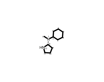 CN(C1CCCCC1)[C@@H]1CCCN1